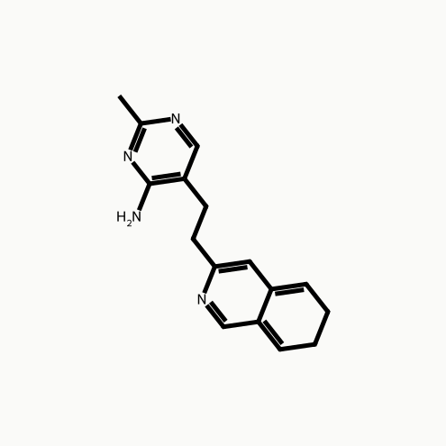 Cc1ncc(CCc2cc3c(cn2)=CCCC=3)c(N)n1